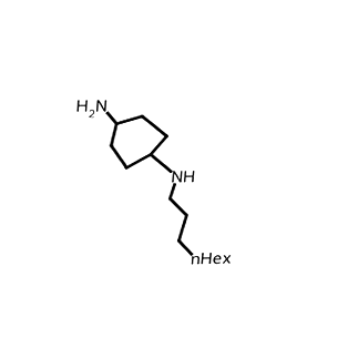 CCCCCCCCCNC1CCC(N)CC1